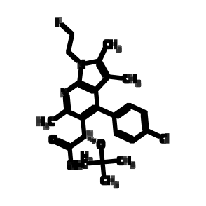 Cc1nc2c(c(C)c(C)n2CCF)c(-c2ccc(Cl)cc2)c1[C@H](OC(C)(C)C)C(=O)O